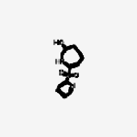 O=S(=O)(C1=CCCCC(O)CN1)c1ccccn1